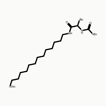 CCCCCCCCCCCCCCCCCCCCCCCNC(=O)C(NC(=O)CCCC)C(C)CC